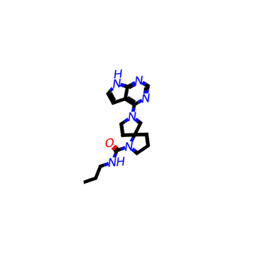 CCCNC(=O)N1CCCC12CCN(c1ncnc3[nH]ccc13)C2